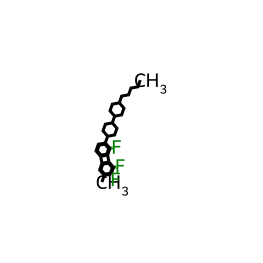 CCCCCC1CCC(C2CCC(c3ccc4c(c3F)-c3c-4cc(C)c(F)c3F)CC2)CC1